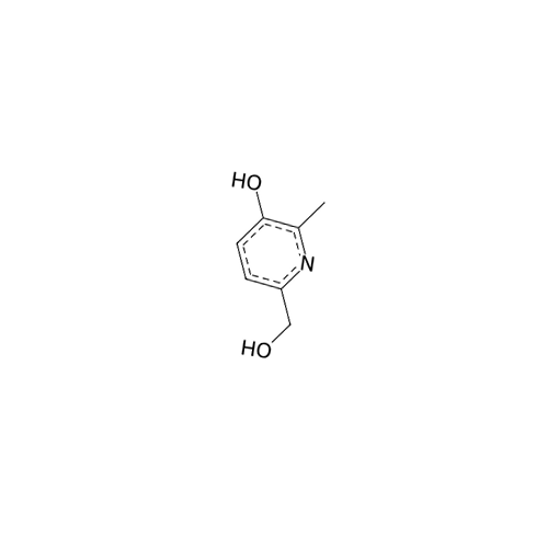 Cc1nc(CO)ccc1O